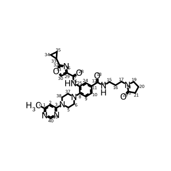 Cc1cc(N2CCN(c3ccc(C(=O)NCCCN4CCCC4=O)cc3NC(=O)c3coc(C4CC4)n3)CC2)ncn1